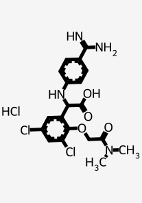 CN(C)C(=O)COc1c(Cl)cc(Cl)cc1C(Nc1ccc(C(=N)N)cc1)C(=O)O.Cl